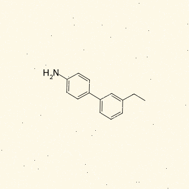 CCc1cccc(-c2ccc(N)cc2)c1